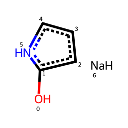 Oc1ccc[nH]1.[NaH]